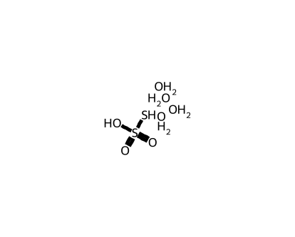 O.O.O.O.O=S(=O)(O)S